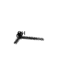 CCCCCCCCCCCCCCCCCCCCCCCCCCCCCCC(C)C(CCCCCCCCCC)C1CC(=O)N(CO)C1=O